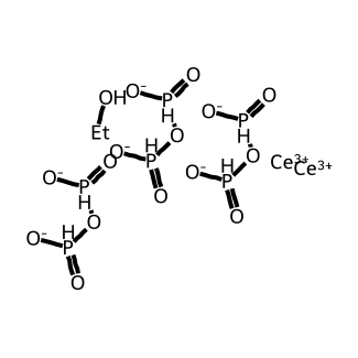 CCO.O=[PH]([O-])O[PH](=O)[O-].O=[PH]([O-])O[PH](=O)[O-].O=[PH]([O-])O[PH](=O)[O-].[Ce+3].[Ce+3]